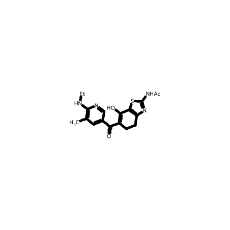 CCNc1ncc(C(=O)C2=C(O)c3sc(NC(C)=O)nc3CC2)cc1C